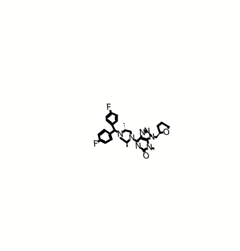 C[C@@H]1CN(c2nc(=O)n(C)c3c2nnn3C[C@H]2CCCO2)[C@@H](C)CN1C(c1ccc(F)cc1)c1ccc(F)cc1